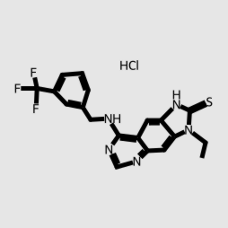 CCn1c(=S)[nH]c2cc3c(NCc4cccc(C(F)(F)F)c4)ncnc3cc21.Cl